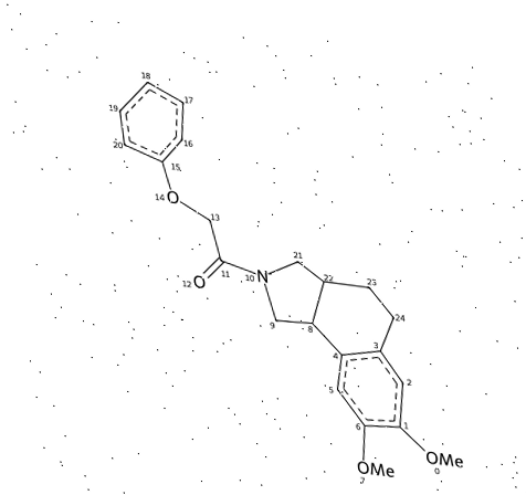 COc1cc2c(cc1OC)C1CN(C(=O)COc3ccccc3)CC1CC2